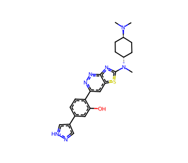 CN(C)[C@H]1CC[C@H](N(C)c2nc3nnc(-c4ccc(-c5cn[nH]c5)cc4O)cc3s2)CC1